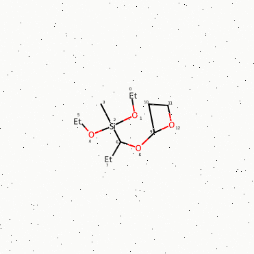 CCO[Si](C)(OCC)C(CC)OC1CCO1